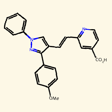 COc1ccc(-c2nn(-c3ccccc3)cc2C=Cc2cc(C(=O)O)ccn2)cc1